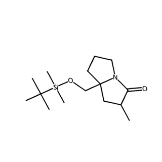 CC1CC2(CO[Si](C)(C)C(C)(C)C)CCCN2C1=O